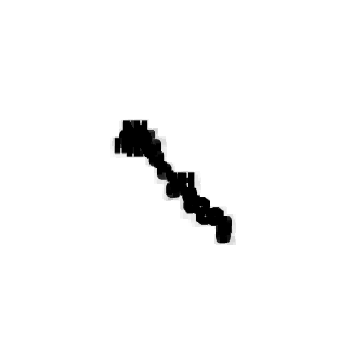 Cc1ccc(NC(=O)COCCOCCNC(=O)CCO[C@@H]2CCC3C4CCc5cc(OP(C)(C)=O)ccc5C4CCC32C)c(O)c1C(N)=O